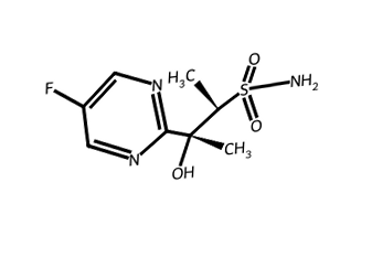 C[C@H]([C@](C)(O)c1ncc(F)cn1)S(N)(=O)=O